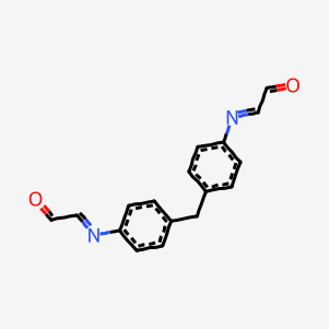 O=CC=Nc1ccc(Cc2ccc(N=CC=O)cc2)cc1